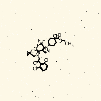 CCOC(=O)[C@]1(C)CC[C@@H](n2ncc(C(=O)N(CC(=O)c3c(Cl)cccc3Cl)CC3(C)CC3)c2C(F)(F)F)CC1